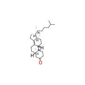 CC(C)CCC[C@@H](C)[C@H]1CCC2=C3CC[C@H]4CC(=O)CC[C@]4(C)[C@H]3CC[C@@]21C